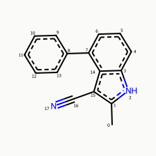 Cc1[nH]c2cccc(-c3ccccc3)c2c1C#N